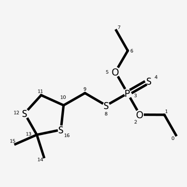 CCOP(=S)(OCC)SCC1CSC(C)(C)S1